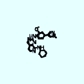 COc1cc(-c2cnn(C)c2)ccc1Nc1ncc2ccnc(NC3CCCCC3)c2n1